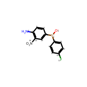 Nc1ccc([S+]([O-])c2ccc(F)cc2)cc1[N+](=O)[O-]